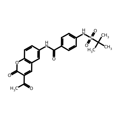 CC(=O)c1cc2cc(NC(=O)c3ccc(NS(=O)(=O)C(C)(C)C)cc3)ccc2oc1=O